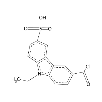 CCn1c2ccc(C(=O)Cl)cc2c2cc(S(=O)(=O)O)ccc21